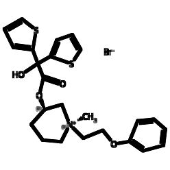 C[N@+]1(CCOc2ccccc2)CCC[C@@H](OC(=O)C(O)(c2cccs2)c2cccs2)C1.[Br-]